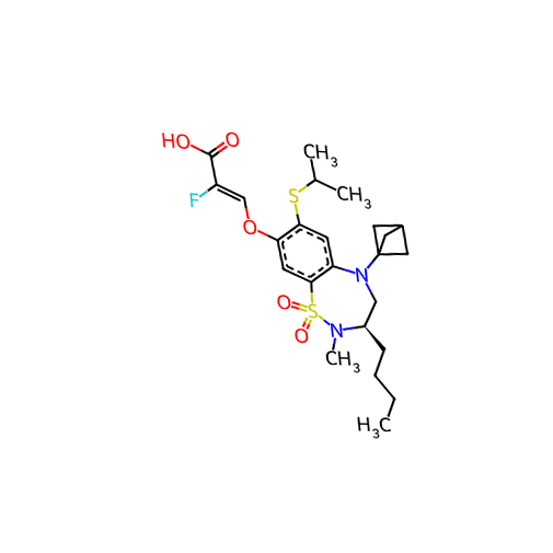 CCCC[C@@H]1CN(C23CC(C2)C3)c2cc(SC(C)C)c(O/C=C(\F)C(=O)O)cc2S(=O)(=O)N1C